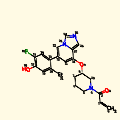 C=CC(=O)N1CCC[C@H](Oc2cc(-c3cc(F)c(O)cc3CC)cn3cncc23)C1